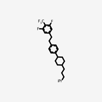 CC(C)CCCC1CCC(c2ccc(CCc3cc(F)c(C(F)(F)F)c(F)c3)cc2)CC1